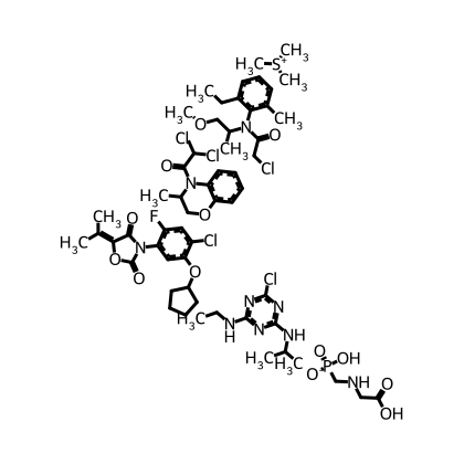 CC(C)=C1OC(=O)N(c2cc(OC3CCCC3)c(Cl)cc2F)C1=O.CC1COc2ccccc2N1C(=O)C(Cl)Cl.CCNc1nc(Cl)nc(NC(C)C)n1.CCc1cccc(C)c1N(C(=O)CCl)C(C)COC.C[S+](C)C.O=C(O)CNCP(=O)([O-])O